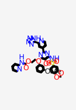 COc1ccccc1Oc1c(NS(=O)(=O)c2ccc3c(c2)OCO3)nc(-c2ccnc(-c3nnn[nH]3)c2)nc1OCCOC(=O)Nc1ccccn1